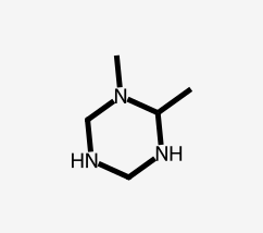 CC1NCNCN1C